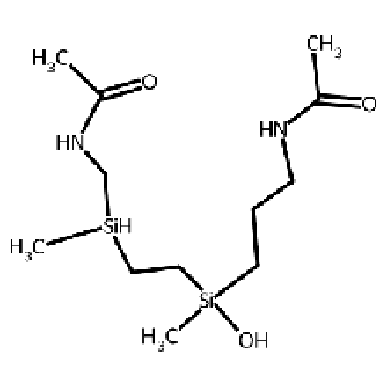 CC(=O)NCCC[Si](C)(O)CC[SiH](C)CNC(C)=O